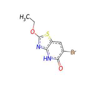 CCOc1nc2[nH]c(=O)c(Br)cc2s1